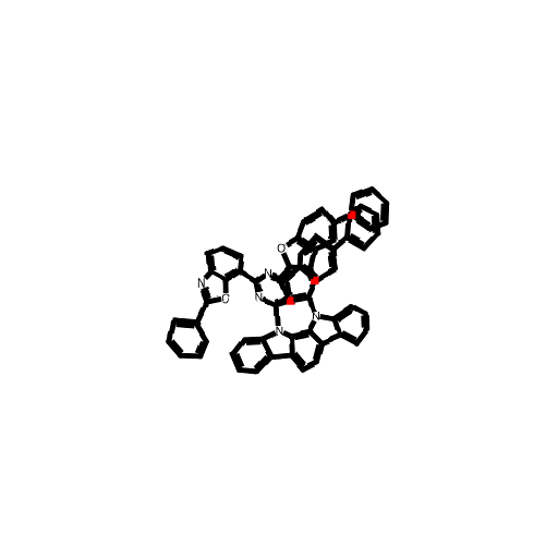 c1ccc(-c2ccc(-c3nc(-c4cccc5nc(-c6ccccc6)oc45)nc(-n4c5ccccc5c5ccc6c7ccccc7n(-c7ccc8oc9ccc(-c%10ccccc%10)cc9c8c7)c6c54)n3)cc2)cc1